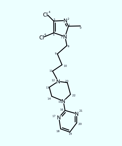 Cc1nc(Cl)c(Cl)n1CCCCN1CCN(c2ncccn2)CC1